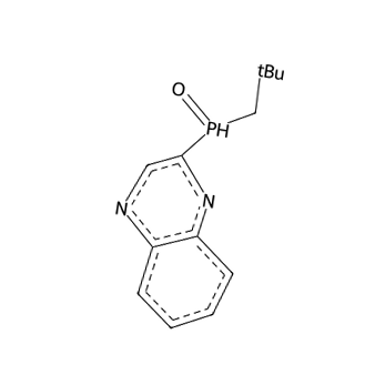 CC(C)(C)C[PH](=O)c1cnc2ccccc2n1